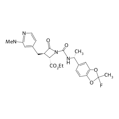 CCOC(=O)[C@@H]1[C@@H](Cc2ccnc(NC)c2)C(=O)N1C(=O)N[C@H](C)c1ccc2c(c1)OC(C)(F)O2